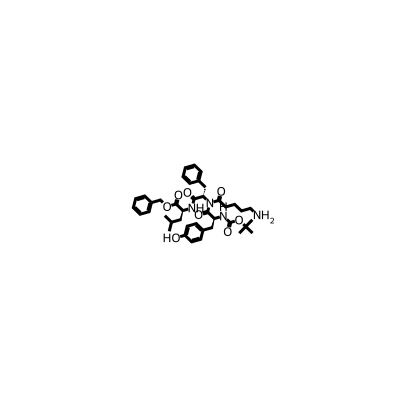 CC(C)C[C@H](NC(=O)[C@H](Cc1ccccc1)N(C(=O)CCCCN)C(=O)[C@H](Cc1ccc(O)cc1)NC(=O)OC(C)(C)C)C(=O)OCc1ccccc1